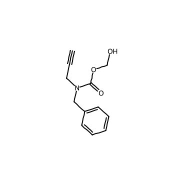 C#CCN(Cc1ccccc1)C(=O)OCO